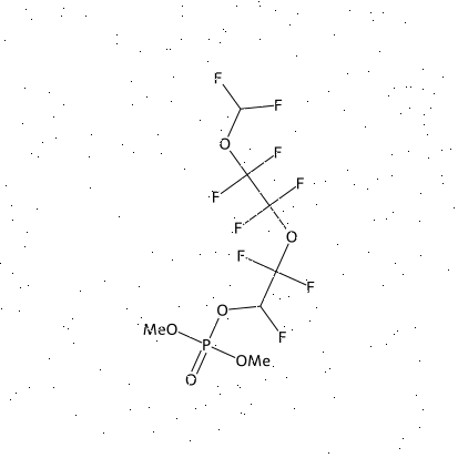 COP(=O)(OC)OC(F)C(F)(F)OC(F)(F)C(F)(F)OC(F)F